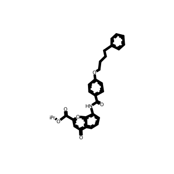 CC(C)OC(=O)c1cc(=O)c2cccc(NC(=O)c3ccc(OCCCCc4ccccc4)cc3)c2o1